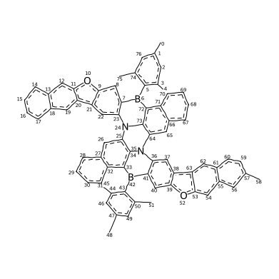 Cc1cc(C)c(B2c3cc4oc5cc6ccccc6cc5c4cc3N3c4cc5ccccc5c5c4N(c4cc6c(cc4B5c4c(C)cc(C)cc4C)oc4cc5cc(C)ccc5cc46)c4cc5ccccc5c2c43)c(C)c1